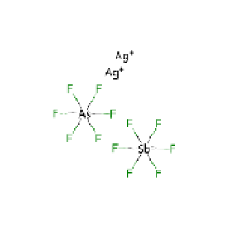 F[As-](F)(F)(F)(F)F.[Ag+].[Ag+].[F][Sb-]([F])([F])([F])([F])[F]